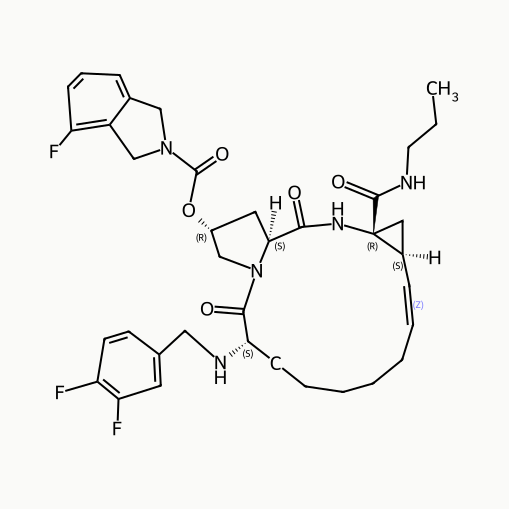 CCCNC(=O)[C@@]12C[C@H]1/C=C\CCCCC[C@H](NCc1ccc(F)c(F)c1)C(=O)N1C[C@H](OC(=O)N3Cc4cccc(F)c4C3)C[C@H]1C(=O)N2